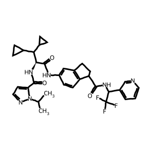 CC(C)n1nccc1C(=O)N[C@H](C(=O)Nc1ccc2c(c1)CCC2C(=O)NC(c1cccnc1)C(F)(F)F)C(C1CC1)C1CC1